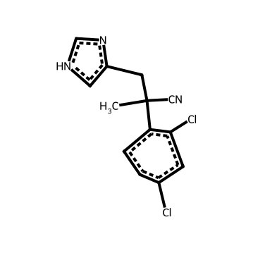 CC(C#N)(Cc1c[nH]cn1)c1ccc(Cl)cc1Cl